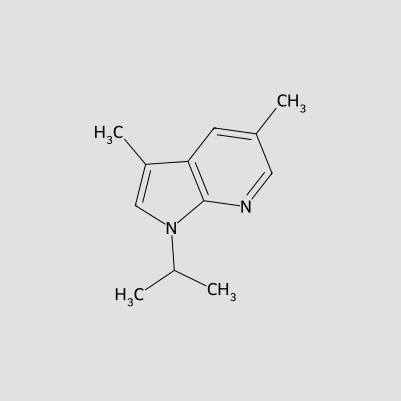 Cc1cnc2c(c1)c(C)cn2C(C)C